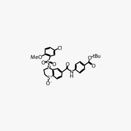 COc1ccc(Cl)cc1S(=O)(=O)N1CC[S+]([O-])c2ccc(C(=O)Nc3ccc(C(=O)OC(C)(C)C)cc3)cc21